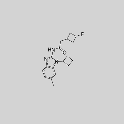 Cc1ccc2nc(NC(=O)CC3CC(F)C3)n(C3CCC3)c2c1